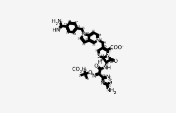 CC(C)(O/N=C(\C(=O)N[C@@H]1C(=O)N2C(C(=O)[O-])=C(C[n+]3ccc4c(ccn4Cc4ccc(C(=N)N)cc4)c3)CS[C@H]12)c1nsc(N)n1)C(=O)O